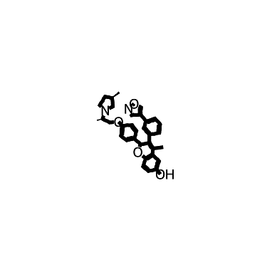 CC1=C(c2cccc(-c3cnoc3)c2)C(c2ccc(OC[C@H](C)N3CC[C@@H](C)C3)cc2)Oc2ccc(O)cc21